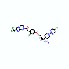 N[C@]1(C2CCN(c3ncc(Cl)cn3)CC2)C[C@H]1CCOc1ccc(CC(=O)N2CCn3cc(C(F)(F)F)nc3C2)c(F)c1